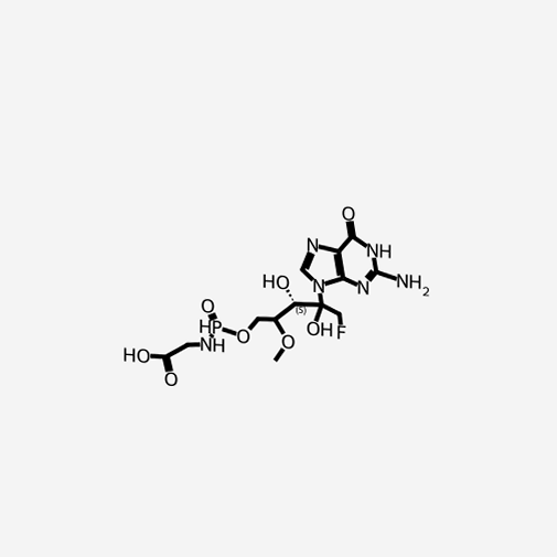 COC(CO[PH](=O)NCC(=O)O)[C@H](O)C(O)(CF)n1cnc2c(=O)[nH]c(N)nc21